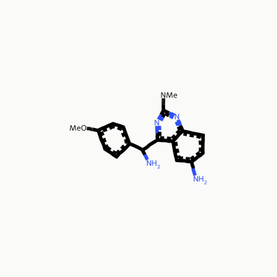 CNc1nc(C(N)c2ccc(OC)cc2)c2cc(N)ccc2n1